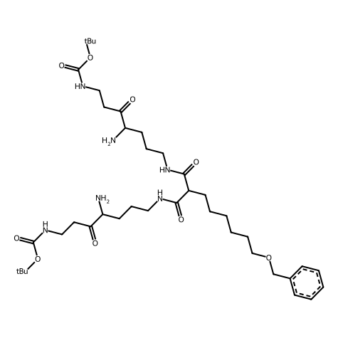 CC(C)(C)OC(=O)NCCC(=O)C(N)CCCNC(=O)C(CCCCCCOCc1ccccc1)C(=O)NCCCC(N)C(=O)CCNC(=O)OC(C)(C)C